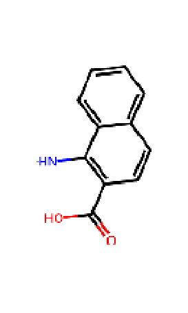 [NH]c1c(C(=O)O)ccc2ccccc12